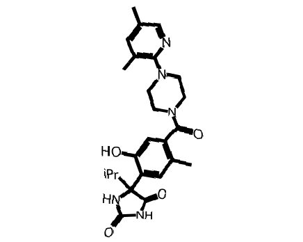 Cc1cnc(N2CCN(C(=O)c3cc(O)c(C4(C(C)C)NC(=O)NC4=O)cc3C)CC2)c(C)c1